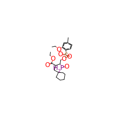 CCOC(=O)C(CC1CCCCC1)C(COS(=O)(=O)c1ccc(C)cc1OCC)[PH2]=O